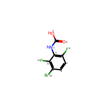 O=C(O)Nc1c(F)ccc(Br)c1F